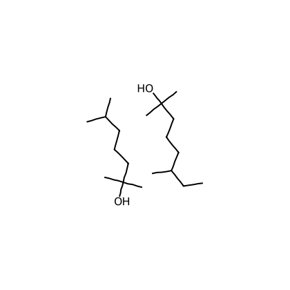 CC(C)CCCC(C)(C)O.CCC(C)CCCC(C)(C)O